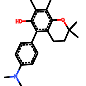 Cc1c(C)c2c(c(-c3ccc(N(C)C)cc3)c1O)CCC(C)(C)O2